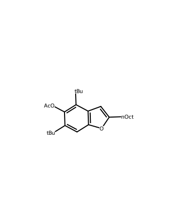 CCCCCCCCc1cc2c(C(C)(C)C)c(OC(C)=O)c(C(C)(C)C)cc2o1